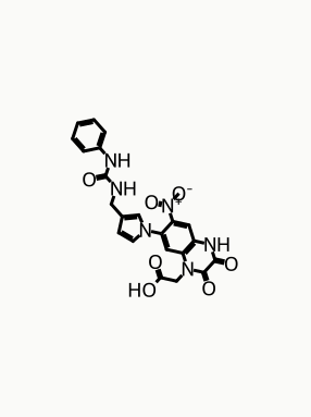 O=C(O)Cn1c(=O)c(=O)[nH]c2cc([N+](=O)[O-])c(-n3ccc(CNC(=O)Nc4ccccc4)c3)cc21